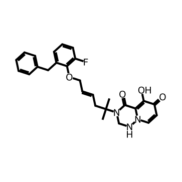 CC(C)(C/C=C/COc1c(F)cccc1Cc1ccccc1)N1CNn2ccc(=O)c(O)c2C1=O